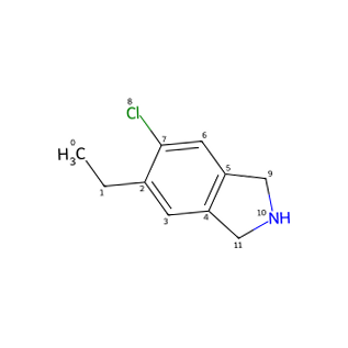 CCc1cc2c(cc1Cl)CNC2